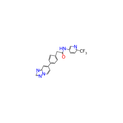 O=C(Cc1ccc(-c2ccn3ncnc3c2)cc1)Nc1ccc(C(F)(F)F)nc1